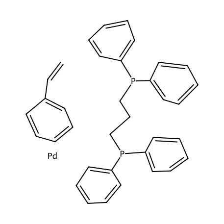 C=Cc1ccccc1.[Pd].c1ccc(P(CCCP(c2ccccc2)c2ccccc2)c2ccccc2)cc1